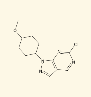 COC1CCC(n2ncc3cnc(Cl)nc32)CC1